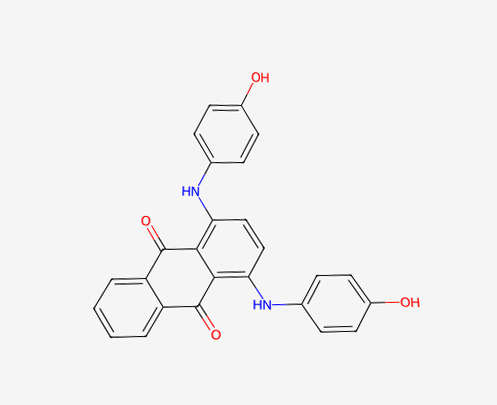 O=C1c2ccccc2C(=O)c2c(Nc3ccc(O)cc3)ccc(Nc3ccc(O)cc3)c21